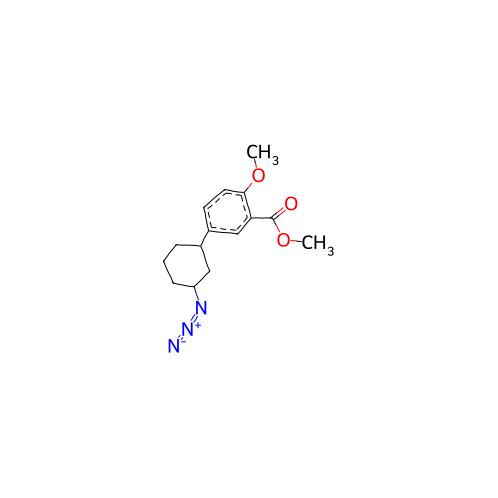 COC(=O)c1cc(C2CCCC(N=[N+]=[N-])C2)ccc1OC